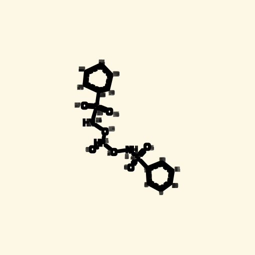 O=[PH](ONS(=O)(=O)c1ccccc1)ONS(=O)(=O)c1ccccc1